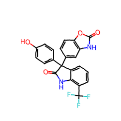 O=C1Nc2c(C(F)(F)F)cccc2C1(c1ccc(O)cc1)c1ccc2oc(=O)[nH]c2c1